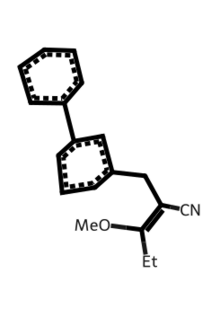 CCC(OC)=C(C#N)Cc1cccc(-c2ccccc2)c1